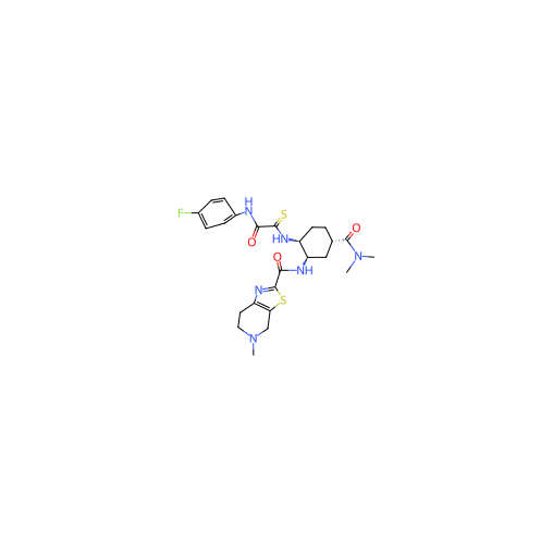 CN1CCc2nc(C(=O)N[C@@H]3C[C@@H](C(=O)N(C)C)CC[C@@H]3NC(=S)C(=O)Nc3ccc(F)cc3)sc2C1